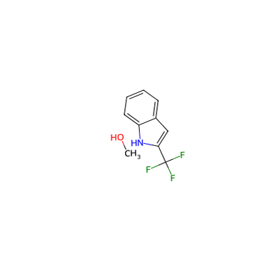 CO.FC(F)(F)c1cc2ccccc2[nH]1